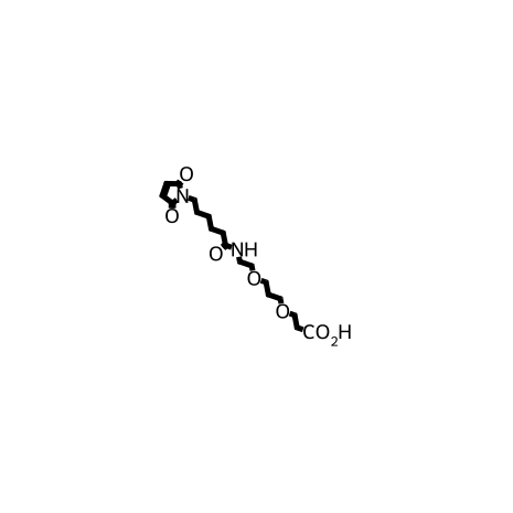 O=C(O)CCOCCCOCCNC(=O)CCCCCN1C(=O)C=CC1=O